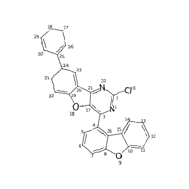 Clc1nc(-c2cccc3oc4ccccc4c23)c2oc3c(c2n1)=CC(C1=CCCC=C1)CC=3